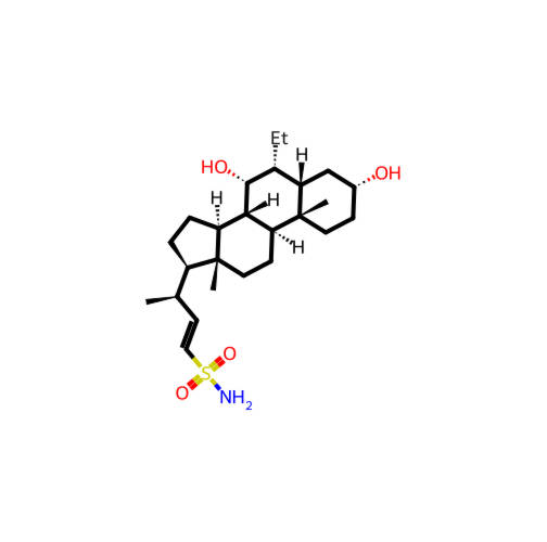 CC[C@H]1[C@@H](O)[C@@H]2[C@H](CC[C@]3(C)[C@@H]([C@H](C)/C=C/S(N)(=O)=O)CC[C@@H]23)[C@@]2(C)CC[C@@H](O)C[C@@H]12